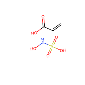 C=CC(=O)O.O=S(=O)(O)NO